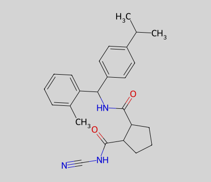 Cc1ccccc1C(NC(=O)C1CCCC1C(=O)NC#N)c1ccc(C(C)C)cc1